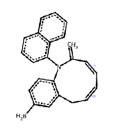 Bc1ccc2c(c1)C/C=C\C=C/C(=C)N2c1cccc2ccccc12